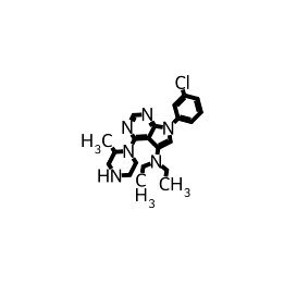 CCN(CC)c1cn(-c2cccc(Cl)c2)c2ncnc(N3CCNCC3C)c12